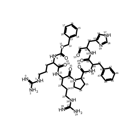 N=C(N)NCCCC(NC(=O)OCc1ccccc1)C(=O)NC(CCCNC(=N)N)C(=O)N1CCCC1C(=O)NC(Cc1ccccc1)C(=O)NC([C]=O)Cc1c[nH]cn1